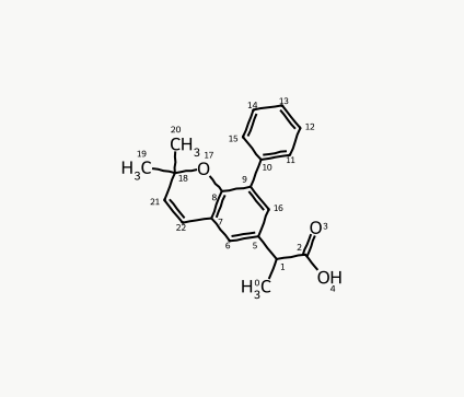 CC(C(=O)O)c1cc2c(c(-c3ccccc3)c1)OC(C)(C)C=C2